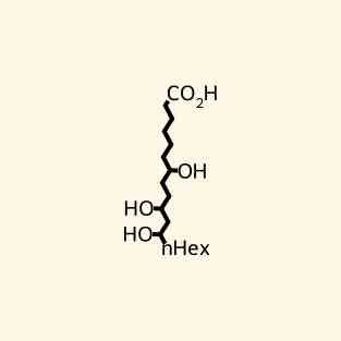 CCCCCCC(O)CC(O)CCC(O)CCCCCC(=O)O